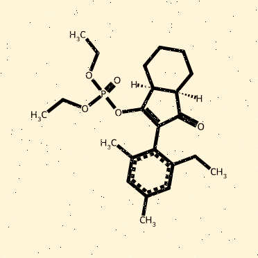 CCOP(=O)(OCC)OC1=C(c2c(C)cc(C)cc2CC)C(=O)[C@@H]2CCCC[C@H]12